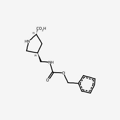 O=C(NC[C@H]1CN[C@H](C(=O)O)C1)OCc1ccccc1